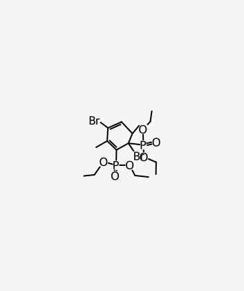 CCOP(=O)(OCC)C1=C(C)C(Br)=CC(C)C1(Br)P(=O)(OCC)OCC